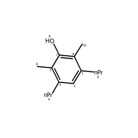 CCCc1cc(CCC)c(C)c(O)c1C